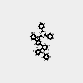 c1ccc(-c2nc(-c3ccccc3)nc(-n3c4ccccc4c4ccc(-c5cccc6c5c5ccccc5n6-c5ccccc5)cc43)n2)cc1